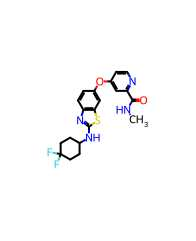 CNC(=O)c1cc(Oc2ccc3nc(NC4CCC(F)(F)CC4)sc3c2)ccn1